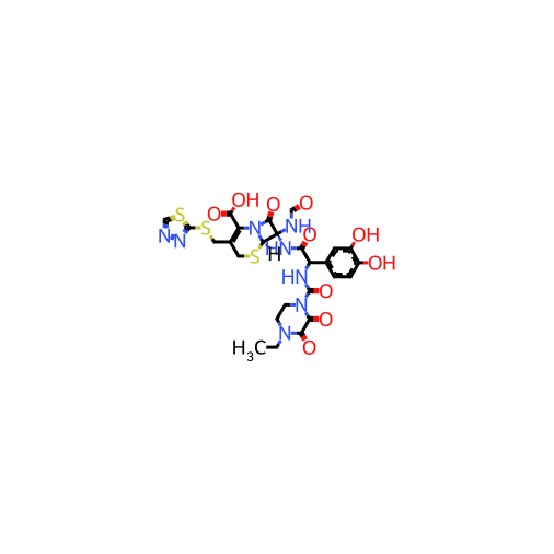 CCN1CCN(C(=O)NC(C(=O)N[C@]2(NC=O)C(=O)N3C(C(=O)O)=C(CSc4nncs4)CS[C@@H]32)c2ccc(O)c(O)c2)C(=O)C1=O